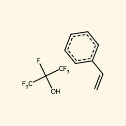 C=Cc1ccccc1.OC(F)(C(F)(F)F)C(F)(F)F